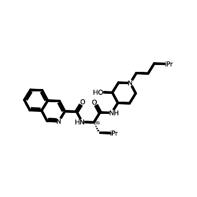 CC(C)CCCN1CCC(NC(=O)[C@H](CC(C)C)NC(=O)c2cc3ccccc3cn2)C(O)C1